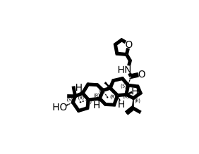 C=C(C)[C@@H]1CC[C@]2(C(=O)NCC3CCCO3)CC[C@]3(C)[C@H](CC[C@@H]4[C@@]5(C)CC[C@H](O)C(C)(C)[C@@H]5CC[C@]43C)[C@@H]12